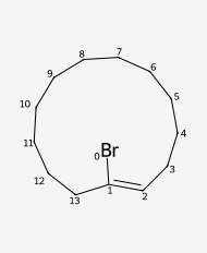 Br/C1=C\CCCCCCCCCCC1